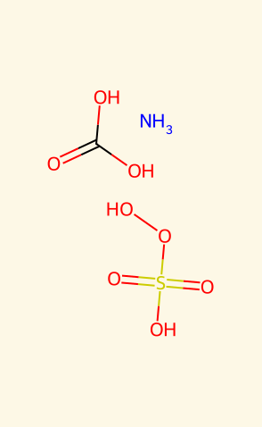 N.O=C(O)O.O=S(=O)(O)OO